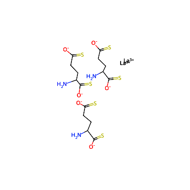 NC(CCC([O-])=S)C([O-])=S.NC(CCC([O-])=S)C([O-])=S.NC(CCC([O-])=S)C([O-])=S.[La+3].[La+3]